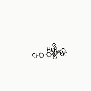 CC1(C)OC[C@H]([C@@H](CS(=O)(=O)c2ccc(-c3ccc(Cl)cc3)cc2)N(O)C=O)O1